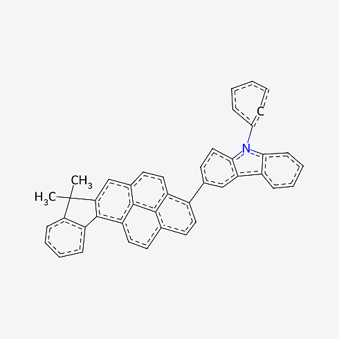 CC1(C)c2ccccc2-c2c1cc1ccc3c(-c4ccc5c(c4)c4ccccc4n5-c4ccccc4)ccc4ccc2c1c43